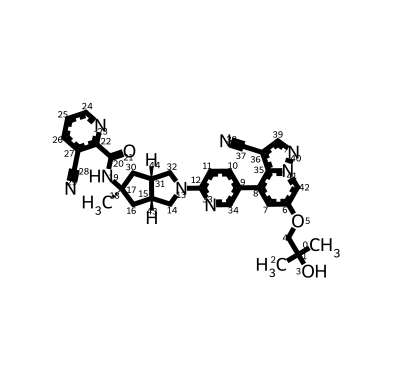 CC(C)(O)COc1cc(-c2ccc(N3C[C@@H]4C[C@@](C)(NC(=O)c5ncccc5C#N)C[C@@H]4C3)nc2)c2c(C#N)cnn2c1